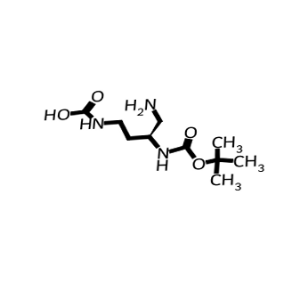 CC(C)(C)OC(=O)N[C@H](CN)CCNC(=O)O